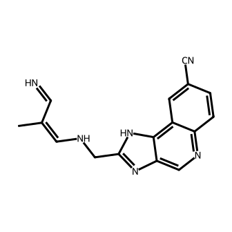 C/C(C=N)=C/NCc1nc2cnc3ccc(C#N)cc3c2[nH]1